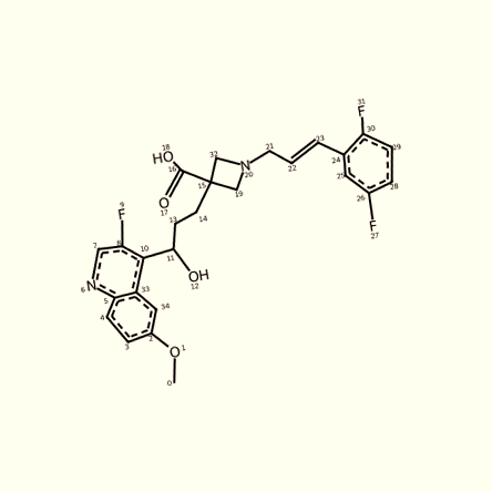 COc1ccc2ncc(F)c(C(O)CCC3(C(=O)O)CN(C/C=C/c4cc(F)ccc4F)C3)c2c1